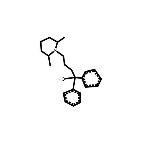 CC1CCCC(C)N1CCCC(O)(c1ccccc1)c1ccccc1